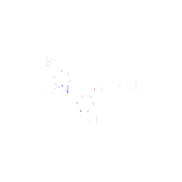 O=c1cc(Br)ccn1Cc1cc(Cl)cc(OCCO)c1